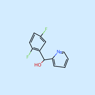 OC(c1ccccn1)c1cc(F)ccc1F